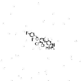 Cc1nc2cc(C)c(-n3c(C)cc(OCc4ccc(F)cc4F)c(Cl)c3=O)cc2[nH]1